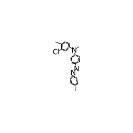 Cc1ccc(N=Nc2ccc(N(C)c3ccc(C)c(Cl)c3)cc2)cc1